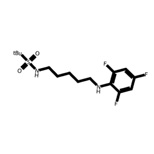 CC(C)(C)S(=O)(=O)NCCCCCNc1c(F)cc(F)cc1F